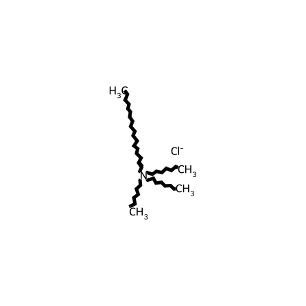 CCCCCCCCCCCCCCCCC=CC[N+](CCCCCCCC)(CCCCCCCC)CCCCCCCC.[Cl-]